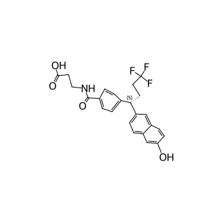 O=C(O)CCNC(=O)c1ccc([C@H](CCC(F)(F)F)c2ccc3cc(O)ccc3c2)cc1